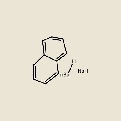 [Li][CH2]CCC.[NaH].c1ccc2ccccc2c1